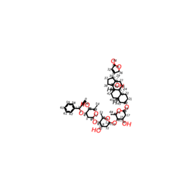 C#CC(O[C@H]1C[C@H](O[C@H]2[C@@H](O)C[C@H](O[C@H]3[C@@H](O)C[C@H](O[C@H]4CC[C@]5(C)C6CC[C@]7(C)[C@@H](C8=CC(=O)OC8)CC[C@]7(O)[C@@H]6CC[C@@H]5C4)O[C@@H]3C)O[C@@H]2C)O[C@H](C)[C@H]1O)c1ccccc1